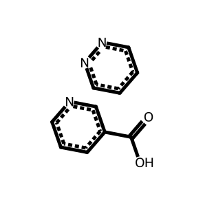 O=C(O)c1cccnc1.c1ccnnc1